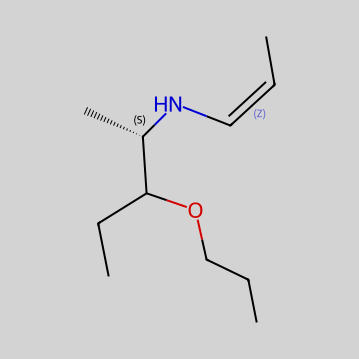 C/C=C\N[C@@H](C)C(CC)OCCC